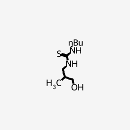 CCCCNC(=S)NCC(C)CO